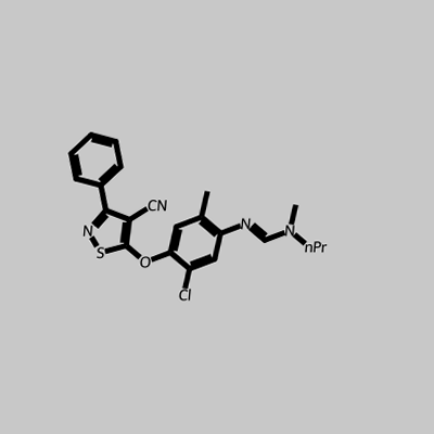 CCCN(C)C=Nc1cc(Cl)c(Oc2snc(-c3ccccc3)c2C#N)cc1C